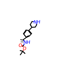 C[C@H](NC(=O)OC(C)(C)C)c1ccc(C2CCNCC2)cc1